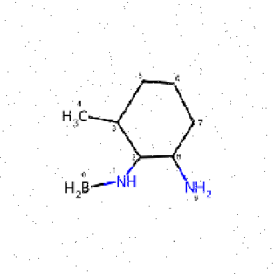 BNC1C(C)CCCC1N